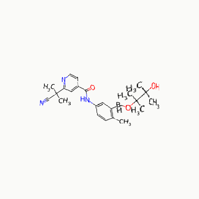 Cc1ccc(NC(=O)c2ccnc(C(C)(C)C#N)c2)cc1BOC(C)(C)C(C)(C)O